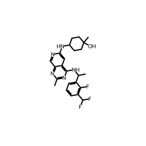 Cc1nc(NC(C)c2cccc(C(F)F)c2F)c2cc(NC3CCC(C)(O)CC3)ncc2n1